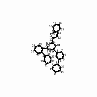 c1ccc(-c2cccc(-c3cc(-c4cc5ccccc5s4)nc(-c4ccccc4-c4ccccc4)n3)c2)cc1